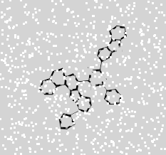 c1ccc(-c2nc(-c3ccc4c(c3)oc3ccccc34)nc(-c3cc4ccc5ccccc5c4c4[se]c5c(-c6ccccc6)cccc5c34)n2)cc1